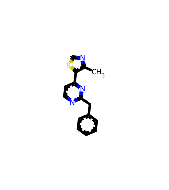 Cc1n[c]sc1-c1ccnc(Cc2ccccc2)n1